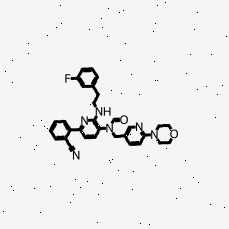 N#Cc1ccccc1-c1ccc(N(C=O)Cc2ccc(N3CCOCC3)nc2)c(NCCc2cccc(F)c2)n1